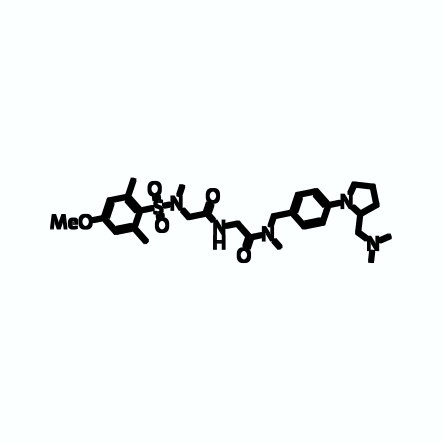 COc1cc(C)c(S(=O)(=O)N(C)CC(=O)NCC(=O)N(C)Cc2ccc(N3CCCC3CN(C)C)cc2)c(C)c1